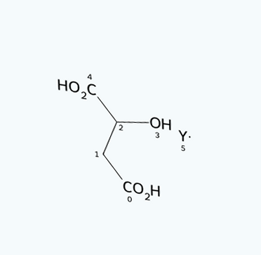 O=C(O)CC(O)C(=O)O.[Y]